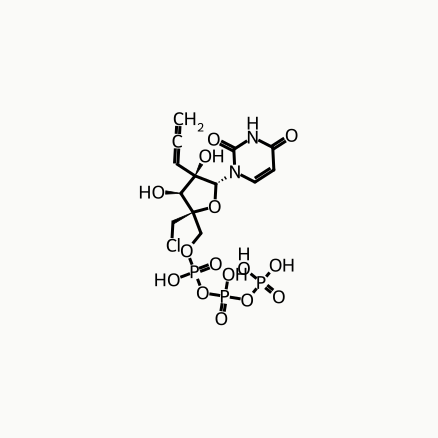 C=C=C[C@@]1(O)[C@H](O)[C@@](CCl)(COP(=O)(O)OP(=O)(O)OP(=O)(O)O)O[C@H]1n1ccc(=O)[nH]c1=O